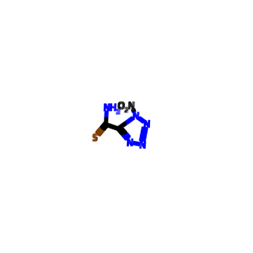 NC(=S)c1nnnn1[N+](=O)[O-]